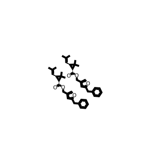 CC(C)=C[C@@H]1[C@@H](C(=O)OCc2coc(Cc3ccccc3)c2)C1(C)C.CC(C)=C[C@@H]1[C@@H](C(=O)OCc2coc(Cc3ccccc3)c2)C1(C)C